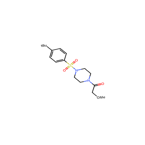 COCC(=O)N1CCN(S(=O)(=O)c2ccc(C(C)(C)C)cc2)CC1